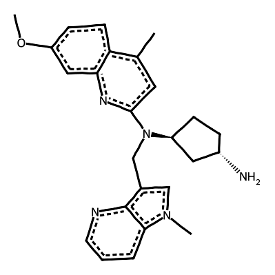 COc1ccc2c(C)cc(N(Cc3cn(C)c4cccnc34)[C@H]3CC[C@H](N)C3)nc2c1